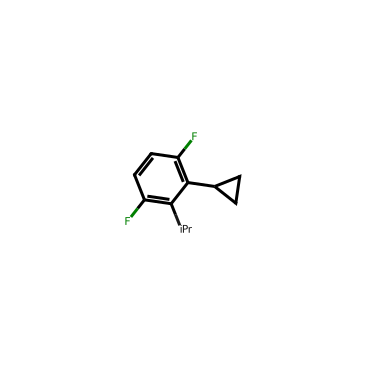 CC(C)c1c(F)ccc(F)c1C1CC1